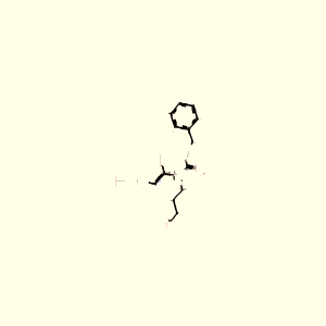 C/C=C(\I)N(CCCI)C(=O)OCc1ccccc1